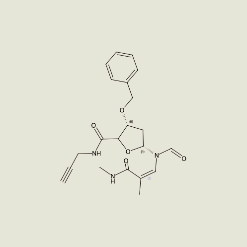 C#CCNC(=O)C1O[C@@H](N(C=O)/C=C(/C)C(=O)NC)C[C@H]1OCc1ccccc1